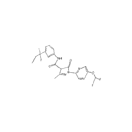 CCC(F)(F)c1cccc(NC(=O)C2C(=O)N(c3ccc(OC(F)F)cn3)N=C2C)c1